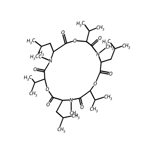 CC(C)CC1C(=O)OC(C(C)C)C(=O)N(C)C(CC(C)C)C(=O)OC(C(C)C)C(=O)N(C)C(CC(C)C)C(=O)OC(C(C)C)C(=O)N1C